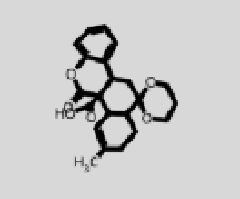 CC1=CC2C(CC1)C1(CC3c4ccccc4OC(=O)C32C(=O)O)OCCCO1